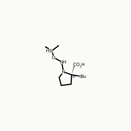 C[SiH](C)ONN1CCC[C@]1(C(=O)O)C(C)(C)C